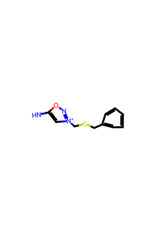 [NH-]c1c[n+](CSCc2ccccc2)no1